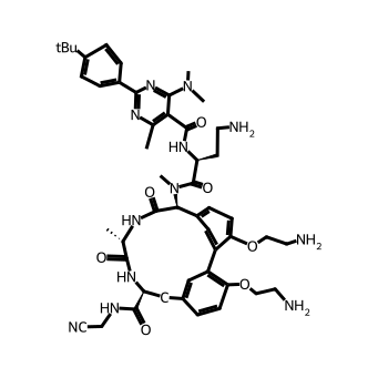 Cc1nc(-c2ccc(C(C)(C)C)cc2)nc(N(C)C)c1C(=O)N[C@@H](CCN)C(=O)N(C)[C@@H]1C(=O)N[C@@H](C)C(=O)N[C@H](C(=O)NCC#N)Cc2ccc(OCCN)c(c2)-c2cc1ccc2OCCN